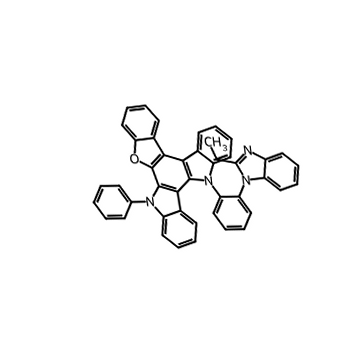 CCc1nc2ccccc2n1-c1ccccc1-n1c2ccccc2c2c3c4ccccc4oc3c3c(c4ccccc4n3-c3ccccc3)c21